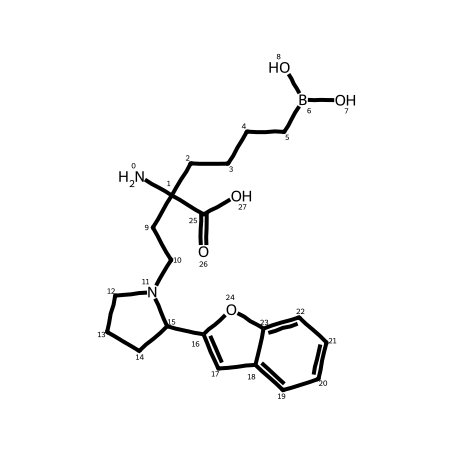 NC(CCCCB(O)O)(CCN1CCCC1c1cc2ccccc2o1)C(=O)O